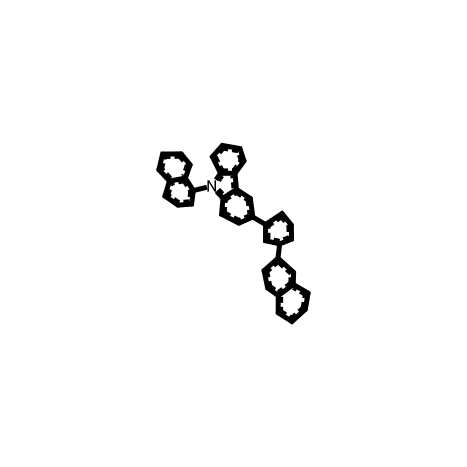 c1cc(-c2ccc3ccccc3c2)cc(-c2ccc3c(c2)c2ccccc2n3-c2cccc3ccccc23)c1